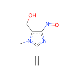 C#Cc1nc(N=O)c(CO)n1C